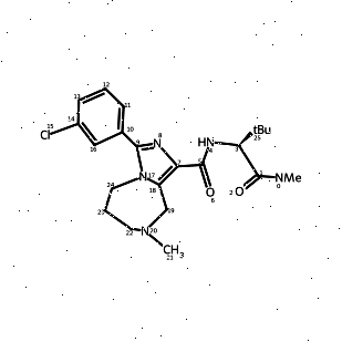 CNC(=O)[C@@H](NC(=O)c1nc(-c2cccc(Cl)c2)n2c1CN(C)CCC2)C(C)(C)C